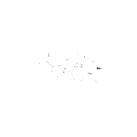 CCOC(=O)C(F)=C1CC[C@H]2[C@@H]3CCC4=C(N)C(=O)C[C@H](C)[C@]4(C)[C@H]3CC[C@]12C